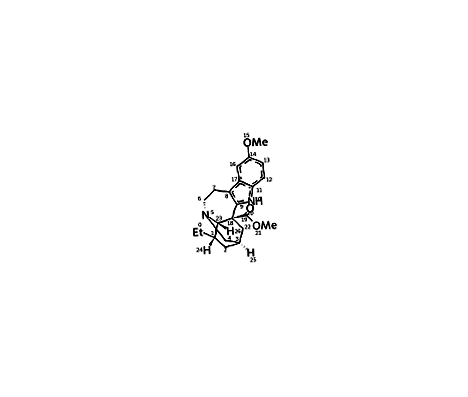 CC[C@H]1C[C@H]2C[N@]3CCc4c([nH]c5ccc(OC)cc45)[C@](C(=O)OC)(C2)[C@H]13